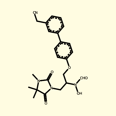 CN1C(=O)N(CC(COc2ccc(-c3cccc(CC#N)c3)cc2)N(O)C=O)C(=O)C1(C)C